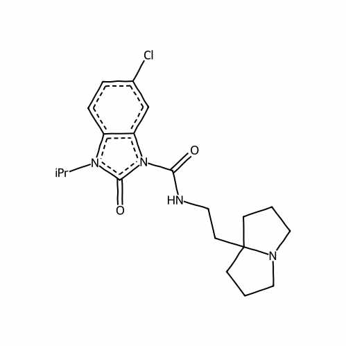 CC(C)n1c(=O)n(C(=O)NCCC23CCCN2CCC3)c2cc(Cl)ccc21